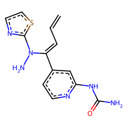 C=C/C=C(/c1ccnc(NC(N)=O)c1)N(N)c1nccs1